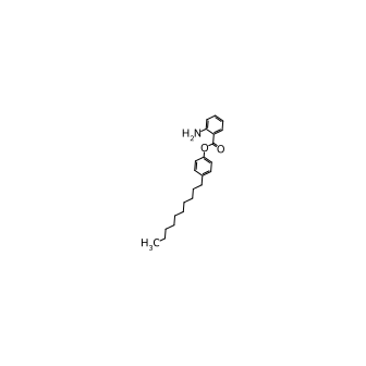 CCCCCCCCCCc1ccc(OC(=O)c2ccccc2N)cc1